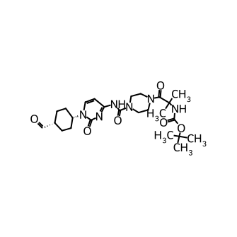 CC(C)(C)OC(=O)NC(C)(C)C(=O)N1CCN(C(=O)Nc2ccn([C@H]3CC[C@@H](C=O)CC3)c(=O)n2)CC1